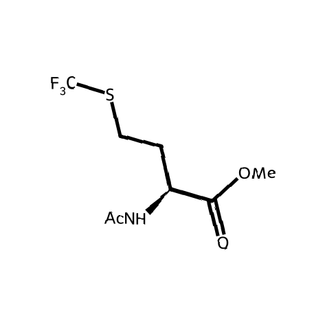 COC(=O)[C@H](CCSC(F)(F)F)NC(C)=O